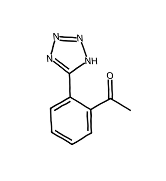 CC(=O)c1ccccc1-c1nnn[nH]1